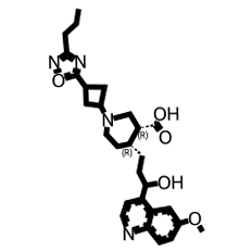 CCCc1noc(C2CC(N3CC[C@@H](CCC(O)c4ccnc5ccc(OC)cc45)[C@@H](C(=O)O)C3)C2)n1